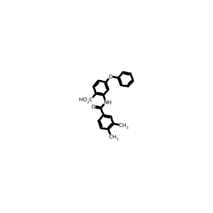 Cc1ccc(C(=O)Nc2cc(Oc3ccccc3)ccc2C(=O)O)cc1C